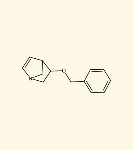 C1=CN2CC1C(OCc1ccccc1)C2